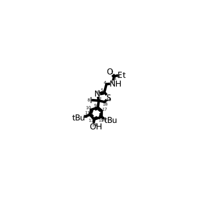 CCC(=O)NCC1=NC(I)(c2cc(C(C)(C)C)c(O)c(C(C)(C)C)c2)CS1